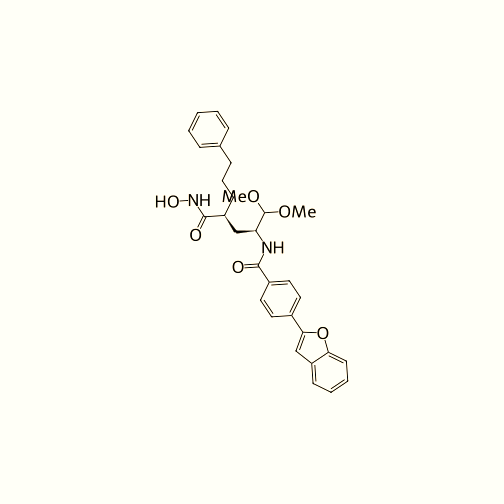 COC(OC)[C@H](C[C@H](CCCc1ccccc1)C(=O)NO)NC(=O)c1ccc(-c2cc3ccccc3o2)cc1